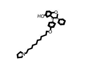 Oc1ccc2c(c1)[C@H](c1ccc(OCCCCCCCCCCN3CCCC3)cc1)[C@@H](c1ccccc1)CO2